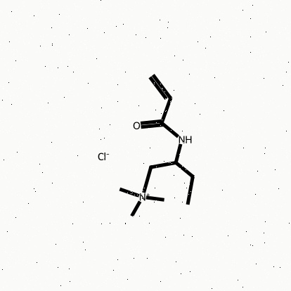 C=CC(=O)NC(CC)C[N+](C)(C)C.[Cl-]